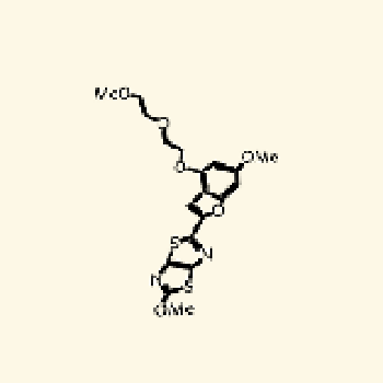 COCCOCCOc1cc(OC)cc2oc(-c3nc4sc(OC)nc4s3)cc12